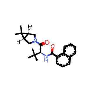 CC(C)(C)[C@H](NC(=O)c1cccc2ccccc12)C(=O)N1C[C@@H]2[C@H](C1)C2(C)C